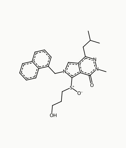 CC(C)Cc1nn(C)c(=O)c2c([S+]([O-])CCCO)n(Cc3cccc4ccccc34)cc12